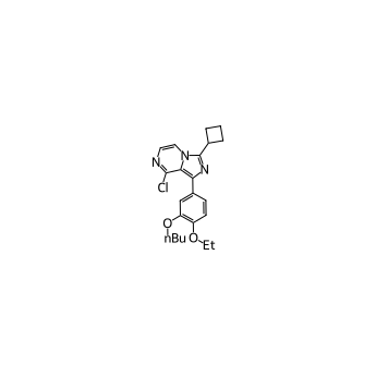 CCCCOc1cc(-c2nc(C3CCC3)n3ccnc(Cl)c23)ccc1OCC